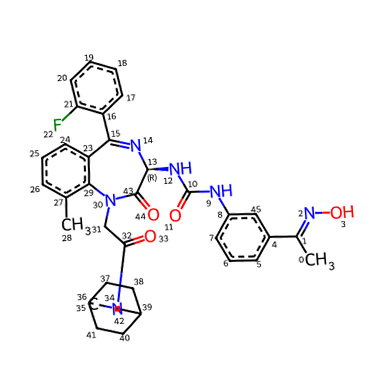 CC(=NO)c1cccc(NC(=O)N[C@@H]2N=C(c3ccccc3F)c3cccc(C)c3N(CC(=O)N3CC4CCC(CC4)C3)C2=O)c1